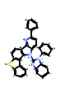 c1ccc(-c2ccc3c(n2)c2ccc4sc5ccccc5c4c2n3-c2nc3ccccc3n2-c2ccccc2)cc1